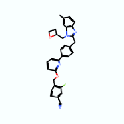 Cc1ccc2nc(Cc3ccc(-c4cccc(OCc5ccc(C#N)cc5F)n4)cc3)n(CC3CCO3)c2c1